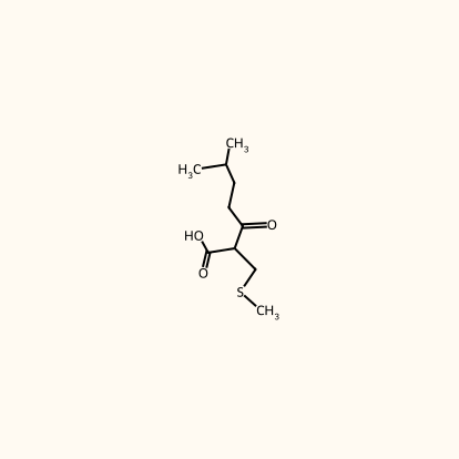 CSCC(C(=O)O)C(=O)CCC(C)C